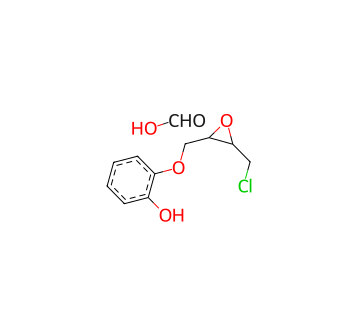 O=CO.Oc1ccccc1OCC1OC1CCl